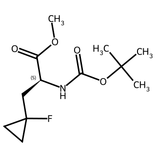 COC(=O)[C@H](CC1(F)CC1)NC(=O)OC(C)(C)C